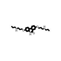 CCCNCCCOc1ccc2c(c1)[nH]c(=O)c1cc(OCCCNCCC)ccc12